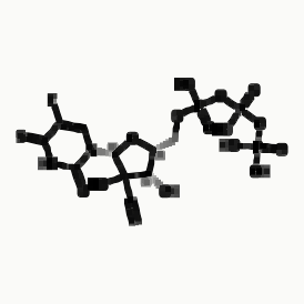 C#CC1(O)[C@@H](O)[C@@H](COP(=O)(O)OP(=O)(O)OP(=O)(O)O)O[C@H]1n1cc(F)c(=S)[nH]c1=O